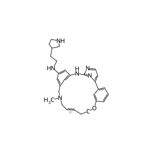 CN1C/C=C/CCOc2cccc(c2)-c2ccnc(n2)Nc2cc(cc(NCCC3CCNC3)c2)C1